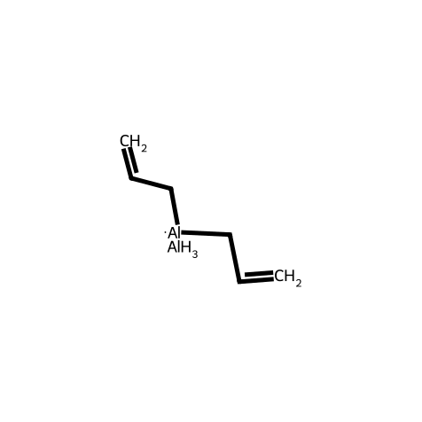 C=C[CH2][Al][CH2]C=C.[AlH3]